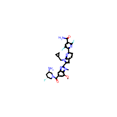 COc1cc(C(=O)N2C[C@H](N)C[C@@H](F)C2)cc2nc(-c3cc4ccc(-c5nc(F)c(C(N)=O)cc5F)nc4n3CC3CC3)n(C)c12